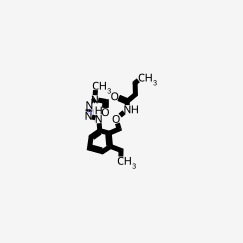 CCCC(=O)NOCc1c(CC)cccc1N/N=N\N(C)C=O